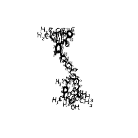 Cc1ncsc1-c1ccc([C@H](C)NC(=O)[C@@H]2C[C@@H](O)CN2C(=O)[C@@H](NC(=O)CN2CCC3(CC2)CCN(CC(=O)N2CCN(c4ncc(-c5cc(NC(=O)c6ccc(F)cc6C(F)(F)F)c(N6C[C@@H](C)N(C)[C@@H](C)C6)cc5F)cn4)CC2)CC3)C(C)(C)C)cc1